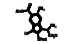 CCCCCc1c(C(C)C(=O)O)c2cc(C)c(C(=O)OC)cc2n1CC